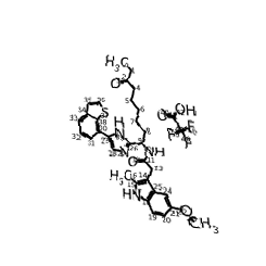 CCC(=O)CCCCCC(NC(=O)Cc1c(C)[nH]c2ccc(OC)cc12)c1ncc(-c2cccc3ccsc23)[nH]1.O=C(O)C(F)(F)F